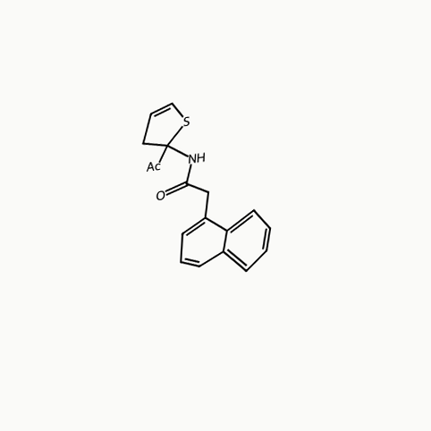 CC(=O)C1(NC(=O)Cc2cccc3ccccc23)CC=CS1